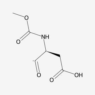 COC(=O)N[C@H]([C]=O)CC(=O)O